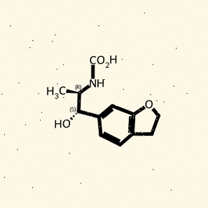 C[C@@H](NC(=O)O)[C@@H](O)c1ccc2c(c1)OCC2